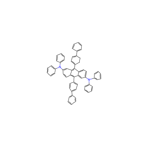 C1=C(c2ccccc2)CCC(c2c3cc(N(c4ccccc4)c4ccccc4)ccc3c(-c3ccc(-c4ccccc4)cc3)c3cc(N(c4ccccc4)c4ccccc4)ccc23)=C1